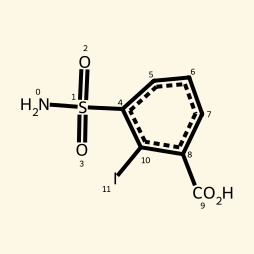 NS(=O)(=O)c1cccc(C(=O)O)c1I